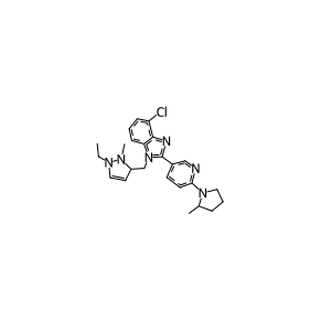 CCN1C=CC(Cn2c(-c3ccc(N4CCCC4C)nc3)nc3c(Cl)cccc32)N1C